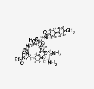 CCC(=O)NC[C@@H]1Cc2ccc(OCCN)c(c2)-c2cc(ccc2OCCN)[C@H](N(C)C(=O)CNC(=O)c2ccc(-c3ccc(C)cc3)cc2)C(=O)NCC(=O)N1